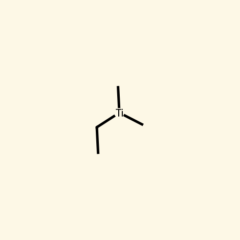 C[CH2][Ti]([CH3])[CH3]